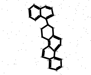 c1ccc2c(C3CCc4c(ccc5c4ccc4ccccc45)C3)cccc2c1